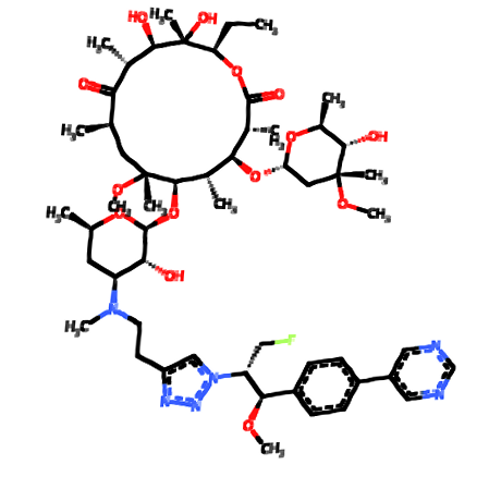 CC[C@H]1OC(=O)[C@H](C)[C@@H](O[C@H]2C[C@@](C)(OC)[C@@H](O)[C@H](C)O2)[C@H](C)[C@@H](O[C@@H]2O[C@H](C)C[C@H](N(C)CCc3cn([C@H](CF)[C@H](OC)c4ccc(-c5cncnc5)cc4)nn3)[C@H]2O)[C@](C)(OC)C[C@@H](C)C(=O)[C@H](C)[C@@H](O)[C@]1(C)O